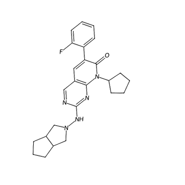 O=c1c(-c2ccccc2F)cc2cnc(NN3CC4CCCC4C3)nc2n1C1CCCC1